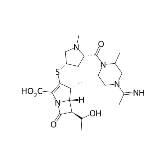 CC(=N)N1CCN(C(=O)[C@@H]2C[C@H](SC3=C(C(=O)O)N4C(=O)[C@H](C(C)O)[C@H]4[C@H]3C)CN2C)C(C)C1